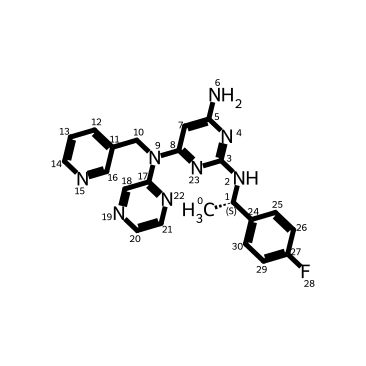 C[C@H](Nc1nc(N)cc(N(Cc2cccnc2)c2cnccn2)n1)c1ccc(F)cc1